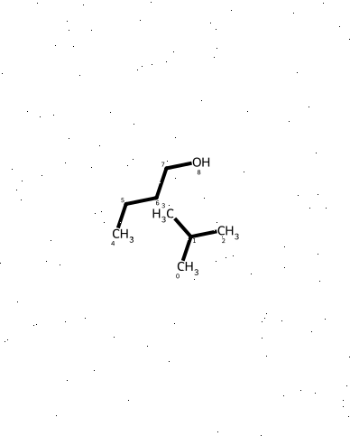 CC(C)C.CCCCO